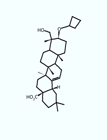 CC1(C)CC[C@]2(C(=O)O)CC[C@]3(C)C(=CCC4[C@@]5(C)CC[C@H](OC6CCC6)[C@@](C)(CO)C5CC[C@]43C)[C@@H]2C1